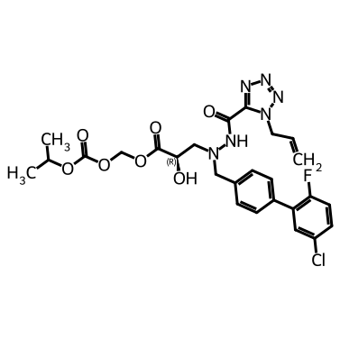 C=CCn1nnnc1C(=O)NN(Cc1ccc(-c2cc(Cl)ccc2F)cc1)C[C@@H](O)C(=O)OCOC(=O)OC(C)C